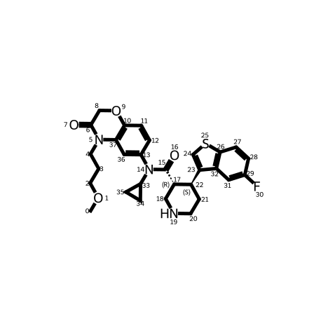 COCCCN1C(=O)COc2ccc(N(C(=O)[C@H]3CNCC[C@@H]3c3csc4ccc(F)cc34)C3CC3)cc21